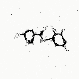 CCc1cc(Cl)cc(NC(=O)c2ccc(C)nc2)c1C